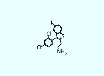 NCCc1sc2ccc(I)cc2c1-c1ccc(Cl)cc1Cl